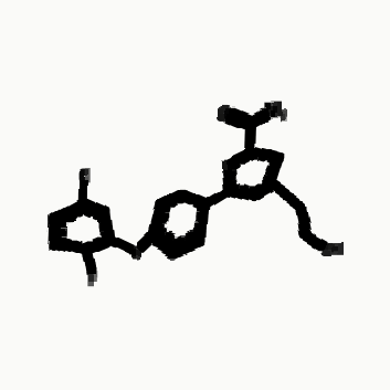 NC(=O)c1cc(CCO)cc(-c2ccc(Oc3cc(Cl)ccc3F)cc2)n1